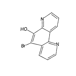 Oc1c(Br)c2cccnc2c2cccnc12